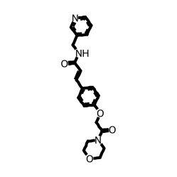 O=C(C=Cc1ccc(OCC(=O)N2CCOCC2)cc1)NCc1cccnc1